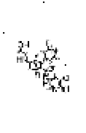 C[C@@]12O[C@H](C[C@H]1NCCO)[C@H](C(=O)Nc1cnc(Cl)c(Cl)c1)[C@H]2c1ccnc(F)c1